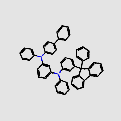 c1ccc(-c2ccc(N(c3ccccc3)c3cccc(N(c4ccccc4)c4cccc(C5(c6ccccc6)c6ccccc6-c6ccccc65)c4)c3)cc2)cc1